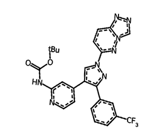 CC(C)(C)OC(=O)Nc1cc(-c2cn(-c3ccc4nncn4n3)nc2-c2cccc(C(F)(F)F)c2)ccn1